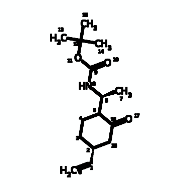 C=C[C@@H]1CCC([C@H](C)NC(=O)OC(C)(C)C)C(=O)C1